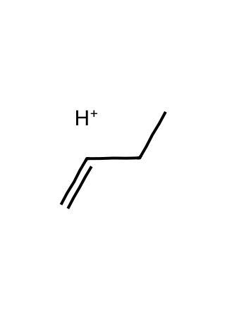 C=CCC.[H+]